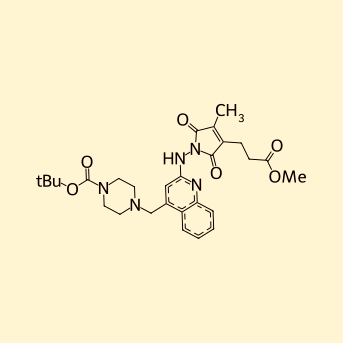 COC(=O)CCC1=C(C)C(=O)N(Nc2cc(CN3CCN(C(=O)OC(C)(C)C)CC3)c3ccccc3n2)C1=O